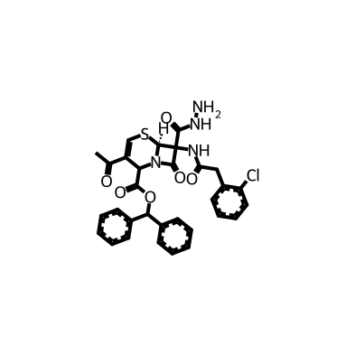 CC(=O)C1=CS[C@@H]2N(C(=O)C2(NC(=O)Cc2ccccc2Cl)C(=O)NN)C1C(=O)OC(c1ccccc1)c1ccccc1